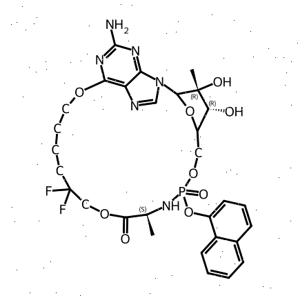 C[C@@H]1NP(=O)(Oc2cccc3ccccc23)OCC2OC(n3cnc4c(nc(N)nc43)OCCCCC(F)(F)COC1=O)[C@](C)(O)[C@@H]2O